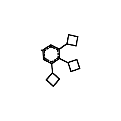 [c]1cc(C2CCC2)c(C2CCC2)c(C2CCC2)c1